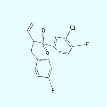 C=CC(Cc1ccc(F)cc1)S(=O)(=O)c1ccc(F)c(Cl)c1